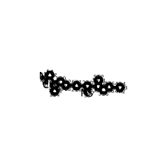 Cn1cnc2cccc(-c3cc4ccccc4c4c3ccc3cc(-c5ccc(-c6ccc(-c7cc8ccc9cc(-c%10ccccc%10)ccc9c8c8ccccc78)c7scnc67)cc5)ccc34)c21